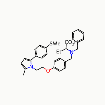 CCC(C(=O)O)N(Cc1ccccc1)Cc1ccc(OCCn2c(C)ccc2-c2ccc(SC)cc2)cc1